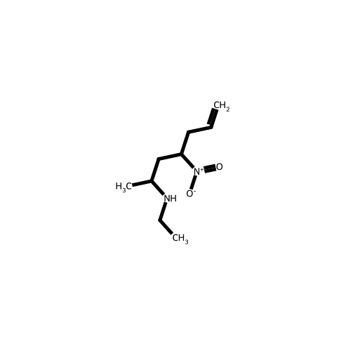 C=CCC(CC(C)NCC)[N+](=O)[O-]